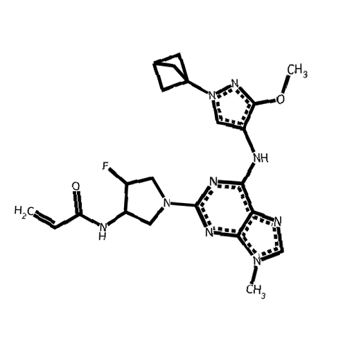 C=CC(=O)NC1CN(c2nc(Nc3cn(C45CC(C4)C5)nc3OC)c3ncn(C)c3n2)CC1F